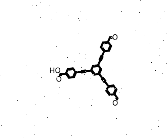 O=Cc1ccc(C#Cc2cc(C#Cc3ccc(C=O)cc3)cc(C#Cc3ccc(C(=O)O)cc3)c2)cc1